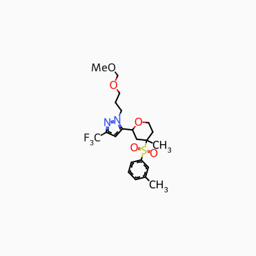 COCOCCCn1nc(C(F)(F)F)cc1C1CC(C)(S(=O)(=O)c2cccc(C)c2)CCO1